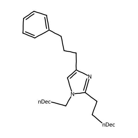 CCCCCCCCCCCCc1nc(CCCc2ccccc2)cn1CCCCCCCCCCC